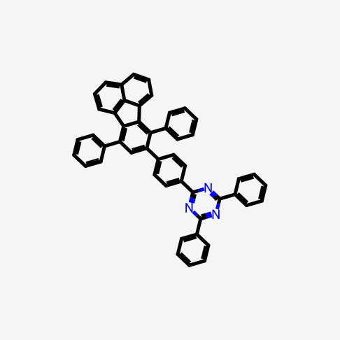 c1ccc(-c2nc(-c3ccccc3)nc(-c3ccc(-c4cc(-c5ccccc5)c5c(c4-c4ccccc4)-c4cccc6cccc-5c46)cc3)n2)cc1